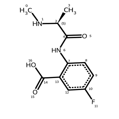 CN[C@@H](C)C(=O)Nc1ccc(F)cc1C(=O)O